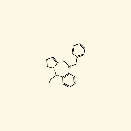 CN1c2ccncc2N(Cc2ccccc2)Cc2cccn21